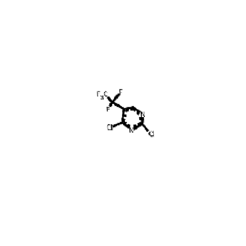 FC(F)(F)C(F)(F)c1cnc(Cl)nc1Cl